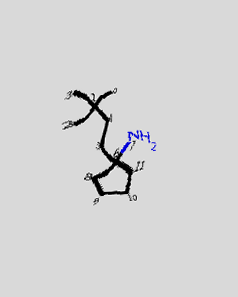 CC(C)(C)CCC1(N)CCCC1